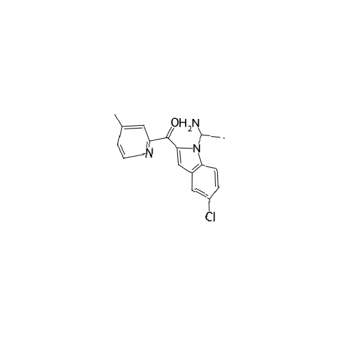 [CH2]C(N)n1c(C(=O)c2cc(C)ccn2)cc2cc(Cl)ccc21